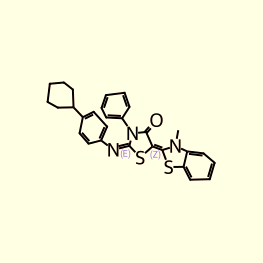 CN1/C(=C2/S/C(=N/c3ccc(C4CCCCC4)cc3)N(c3ccccc3)C2=O)Sc2ccccc21